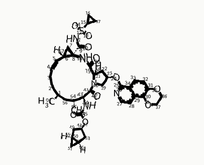 C[C@H]1CC/C=C\[C@@H]2C[C@@]2(C(=O)NS(=O)(=O)C2CC2)NC(=O)[C@@H]2C[C@@H](Oc3nccc4c5c(ccc34)OCCO5)CN2C(=O)[C@@H](NC(=O)O[C@@H]2C[C@@H]3C[C@@H]3C2)[C@H](C)C1